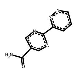 NC(=O)c1cnc(-c2cccnn2)nc1